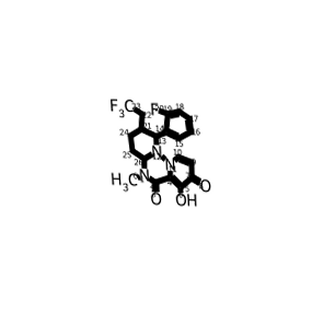 CN1C(=O)c2c(O)c(=O)ccn2N2C(c3ccccc3F)C(CC(F)(F)F)CCC12